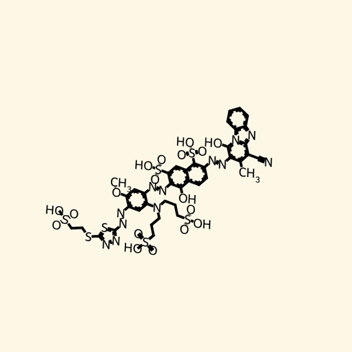 COc1cc(N=Nc2c(S(=O)(=O)O)cc3c(S(=O)(=O)O)c(N=Nc4c(C)c(C#N)c5nc6ccccc6n5c4O)ccc3c2O)c(N(CCCS(=O)(=O)O)CCCS(=O)(=O)O)cc1N=Nc1nnc(SCCS(=O)(=O)O)s1